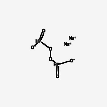 O=[PH]([O-])OO[PH](=O)[O-].[Na+].[Na+]